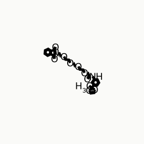 CC1(c2cccc(NC(=O)COCCOCCOCCOCCN3C(=O)c4ccccc4C3=O)c2)OCCO1